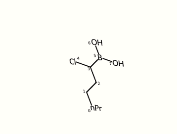 CCCCCC(Cl)B(O)O